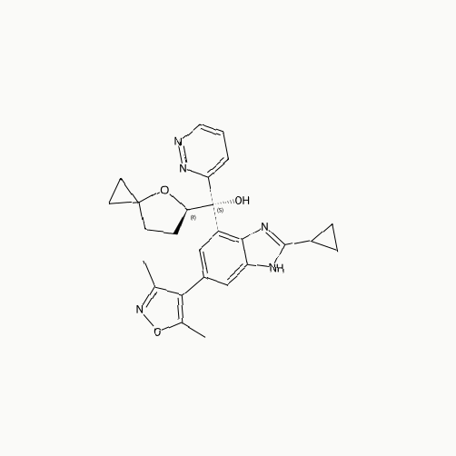 Cc1noc(C)c1-c1cc([C@](O)(c2cccnn2)[C@H]2CCC3(CC3)O2)c2nc(C3CC3)[nH]c2c1